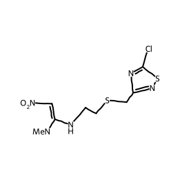 CNC(=C[N+](=O)[O-])NCCSCc1nsc(Cl)n1